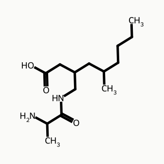 CCCCC(C)CC(CNC(=O)C(C)N)CC(=O)O